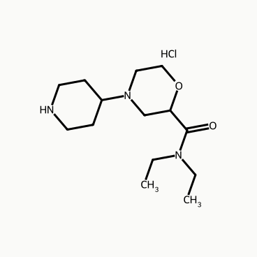 CCN(CC)C(=O)C1CN(C2CCNCC2)CCO1.Cl